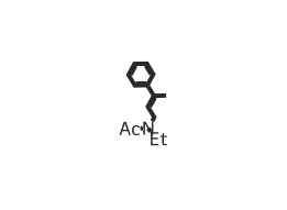 CCN(C/C=C(\C)c1ccccc1)C(C)=O